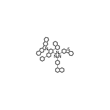 c1ccc(-c2ccc3c(-c4nc(-c5ccc(-c6cccc7ccccc67)cc5)nc(-c5ccc6sc7ccccc7c6c5)n4)c(-c4cccc5ccccc45)cc(-n4c5cc6ccccc6cc5c5cc6ccccc6cc54)c3c2)cc1